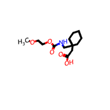 COCCOC(=O)NCC1(CC(=O)O)CCCCC1